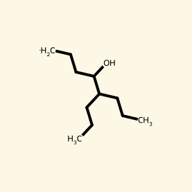 [CH2]CCC(O)C(CCC)CCC